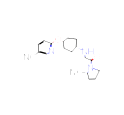 N#Cc1ccc(O[C@H]2CC[C@H](NCC(=O)N3CCC[C@H]3C#N)CC2)nc1